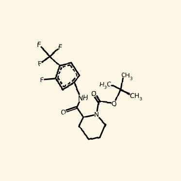 CC(C)(C)OC(=O)N1CCCCC1C(=O)Nc1ccc(C(F)(F)F)c(F)c1